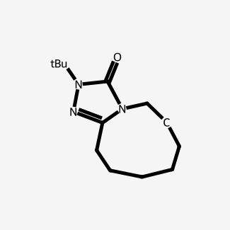 CC(C)(C)n1nc2n(c1=O)CCCCCCC2